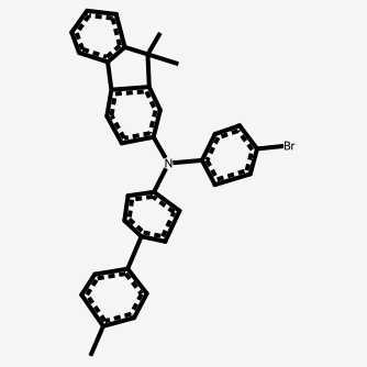 Cc1ccc(-c2ccc(N(c3ccc(Br)cc3)c3ccc4c(c3)C(C)(C)c3ccccc3-4)cc2)cc1